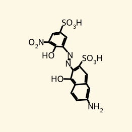 Nc1ccc2c(O)c(N=Nc3cc(S(=O)(=O)O)cc([N+](=O)[O-])c3O)c(S(=O)(=O)O)cc2c1